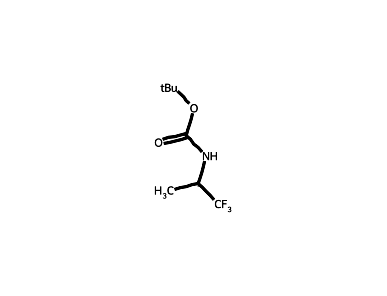 C[C](NC(=O)OC(C)(C)C)C(F)(F)F